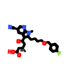 C[C@H](CC(=O)O)CC(=O)c1c(CCCCOCc2ccc(F)cc2)n(C)c2ncc(C#N)cc12